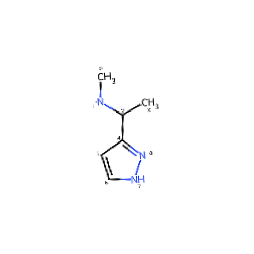 C[N]C(C)c1cc[nH]n1